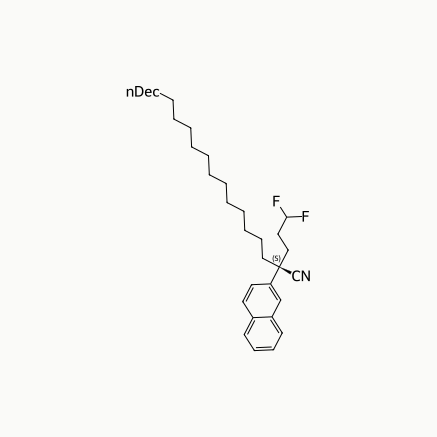 CCCCCCCCCCCCCCCCCCCCCC[C@](C#N)(CCC(F)F)c1ccc2ccccc2c1